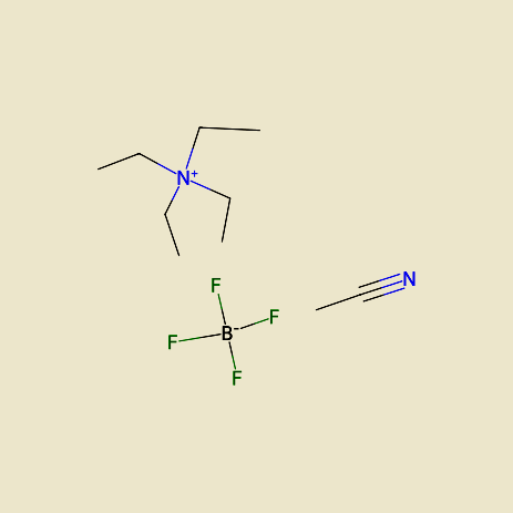 CC#N.CC[N+](CC)(CC)CC.F[B-](F)(F)F